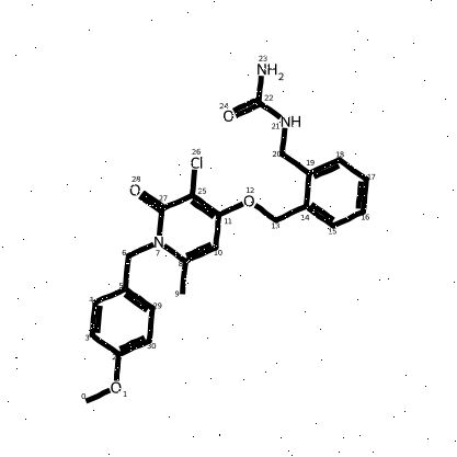 COc1ccc(Cn2c(C)cc(OCc3ccccc3CNC(N)=O)c(Cl)c2=O)cc1